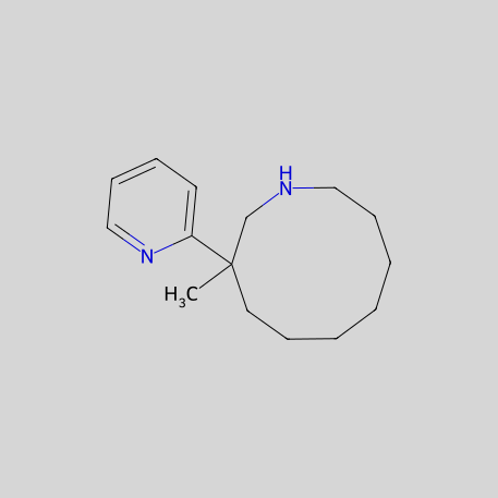 CC1(c2ccccn2)CCCCCCCNC1